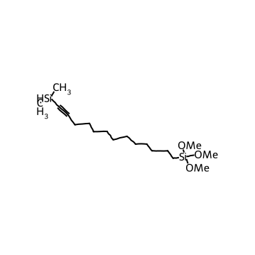 CO[Si](CCCCCCCCCCCC#C[SiH](C)C)(OC)OC